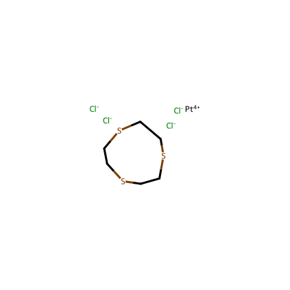 C1CSCCSCCS1.[Cl-].[Cl-].[Cl-].[Cl-].[Pt+4]